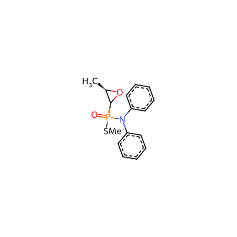 CSP(=O)([C@@H]1O[C@@H]1C)N(c1ccccc1)c1ccccc1